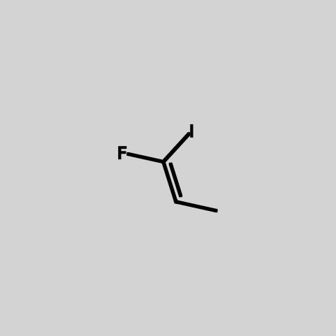 CC=C(F)I